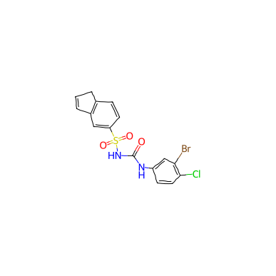 O=C(Nc1ccc(Cl)c(Br)c1)NS(=O)(=O)c1ccc2c(c1)C=CC2